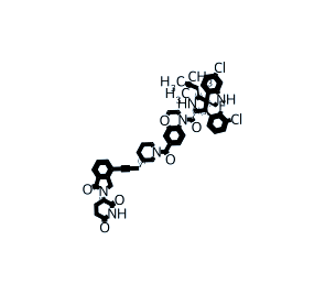 CC(C)(C)C[C@@H]1N[C@@H](C(=O)N2CCOc3cc(C(=O)N4CCC[C@@H](CC#Cc5cccc6c5CN([C@H]5CCC(=O)NC5=O)C6=O)C4)ccc32)[C@H](c2cccc(Cl)c2F)[C@]12CNc1cc(Cl)ccc12